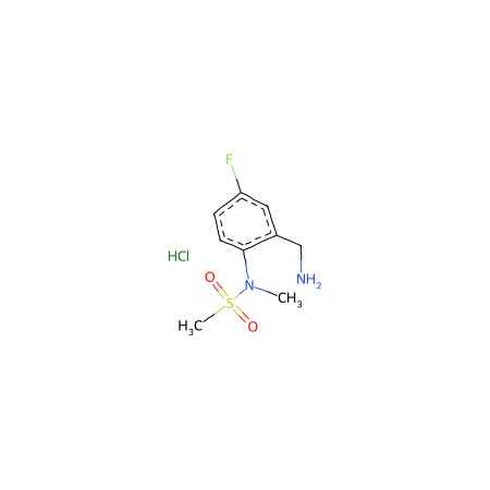 CN(c1ccc(F)cc1CN)S(C)(=O)=O.Cl